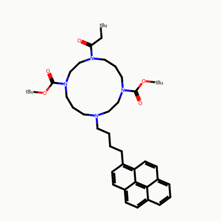 CC(C)(C)CC(=O)N1CCCN(C(=O)OC(C)(C)C)CCN(CCCCc2ccc3ccc4cccc5ccc2c3c45)CCCN(C(=O)OC(C)(C)C)CC1